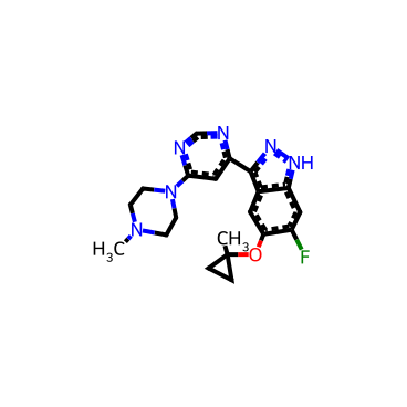 CN1CCN(c2cc(-c3n[nH]c4cc(F)c(OC5(C)CC5)cc34)ncn2)CC1